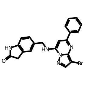 O=C1Cc2cc(CNc3cc(-c4ccccc4)nc4c(Br)cnn34)ccc2N1